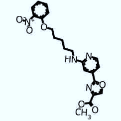 COC(=O)c1coc(-c2ccnc(NCCCCCOc3ccccc3[N+](=O)[O-])c2)n1